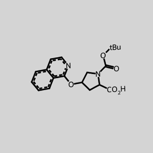 CC(C)(C)OC(=O)N1CC(Oc2nccc3ccccc23)CC1C(=O)O